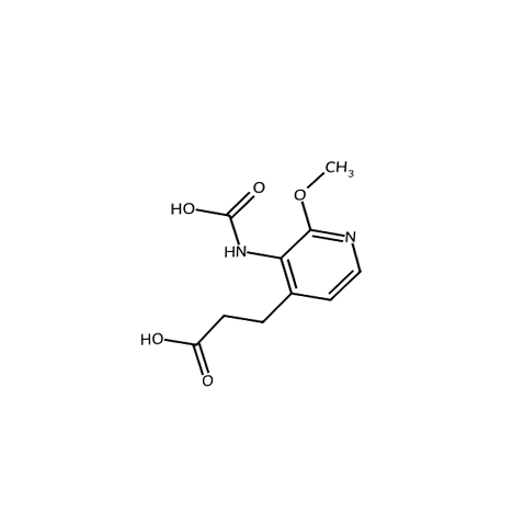 COc1nccc(CCC(=O)O)c1NC(=O)O